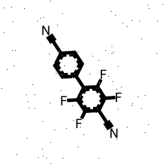 N#Cc1ccc(-c2c(F)c(F)c(C#N)c(F)c2F)cc1